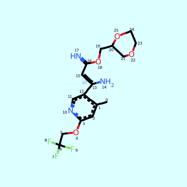 Cc1cc(OCC(F)(F)F)ncc1/C(N)=C/C(=N)OCC1COCCO1